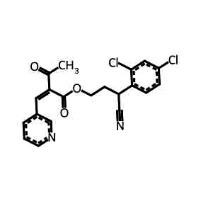 CC(=O)C(=Cc1cccnc1)C(=O)OCCC(C#N)c1ccc(Cl)cc1Cl